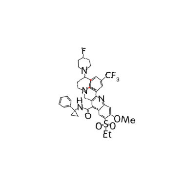 CCS(=O)(=O)c1cc2c(C(=O)NC3(c4ccccc4)CC3)c(CN3CCC(N4CCC(F)CC4)CC3)c(-c3cccc(C(F)(F)F)c3)nc2cc1OC